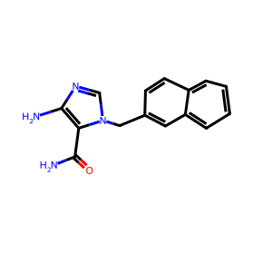 NC(=O)c1c(N)ncn1Cc1ccc2ccccc2c1